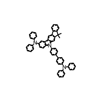 CC1(C)c2ccccc2-c2cc3c4cc(N(c5ccccc5)c5ccccc5)ccc4n(-c4ccc(-c5ccc(N(c6ccccc6)c6ccccc6)cc5)cc4)c3cc21